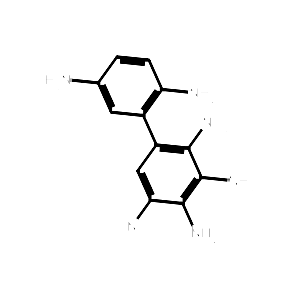 Nc1ccc(N)c(-c2cc(N)c(N)c(N)c2N)c1